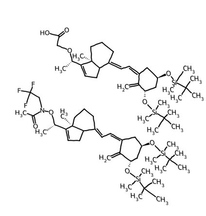 C=C1C(=CC=C2CCC[C@]3(C)C([C@H](C)OCC(=O)O)=CCC23)C[C@@H](O[Si](C)(C)C(C)(C)C)C[C@@H]1O[Si](C)(C)C(C)(C)C.C=C1C(=CC=C2CCC[C@]3(C)C([C@H](C)ON(CC(F)(F)F)C(C)=O)=CCC23)C[C@@H](O[Si](C)(C)C(C)(C)C)C[C@@H]1O[Si](C)(C)C(C)(C)C